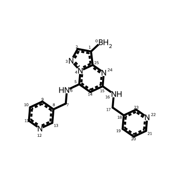 Bc1cnn2c(NCc3cccnc3)cc(NCc3cccnc3)nc12